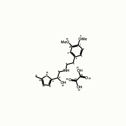 COc1ccc(CCNCC(O)c2ccc(C)s2)cc1OC.O=C(O)C(=O)O